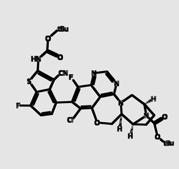 CC(C)(C)OC(=O)Nc1sc2c(F)ccc(-c3c(Cl)c4c5c(ncnc5c3F)N3C[C@H]5CC[C@@H]([C@H]3CO4)N5C(=O)OC(C)(C)C)c2c1C#N